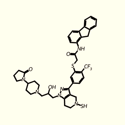 O=C(CSc1cc(-c2nn(CC(O)CN3CCC(N4CCCC4=O)CC3)c3c2CN(S)CC3)ccc1C(F)(F)F)Nc1cccc2c1Cc1ccccc1-2